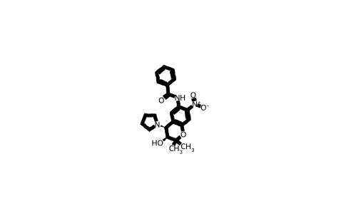 CC1(C)Oc2cc([N+](=O)[O-])c(NC(=O)c3ccccc3)cc2[C@@H](N2CCCC2)[C@@H]1O